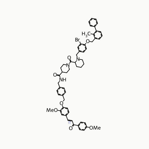 COc1ccc(C(=O)/C=C/c2ccc(OCc3ccc(CNC(=O)C4CCN(C(=O)C5CCCCN5Cc5ccc(OCc6cccc(-c7ccccc7)c6C)c(Br)c5)CC4)cc3)c(OC)c2)cc1